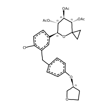 CC(=O)O[C@@H]1[C@@H](OC(C)=O)[C@H](OC(C)=O)C2(CC2)O[C@H]1c1ccc(Cl)c(Cc2ccc(O[C@H]3CCOC3)cc2)c1